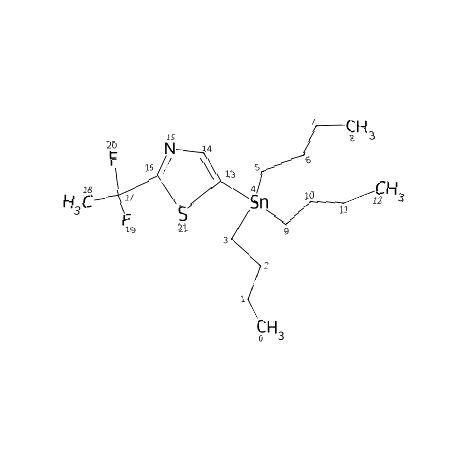 CCC[CH2][Sn]([CH2]CCC)([CH2]CCC)[c]1cnc(C(C)(F)F)s1